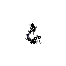 CN(/C=C/C(=O)N1CCC([C@@H]2CCNc3c(C(N)=O)c(-c4ccc(Oc5ccccc5)cc4)nn32)CC1)CCNC(=O)COc1cccc2c1C(=O)N(C1CCC(=O)NC1=O)C2=O